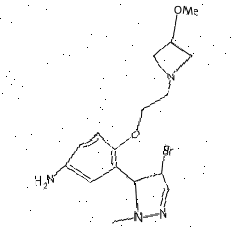 COC1CN(CCOc2ccc(N)cc2C2C(Br)C=NN2C)C1